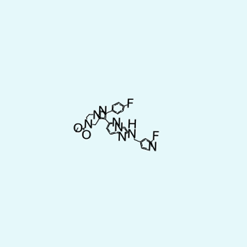 COC(=O)N1CCn2nc(-c3ccc(F)cc3)c(-c3ccc4nc(NCc5ccnc(F)c5)cn4n3)c2C1